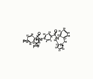 O=C(Nc1ccc(C(=O)N2Cc3cccn3Cc3ccccc32)cc1)c1ccc(F)cc1C(F)(F)F